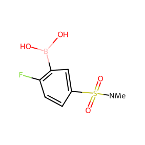 CNS(=O)(=O)c1ccc(F)c(B(O)O)c1